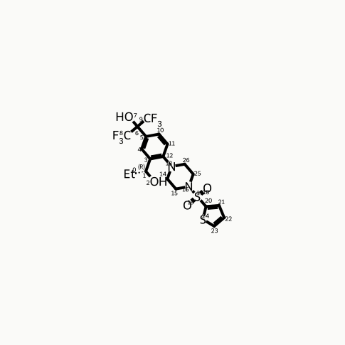 CC[C@@H](O)c1cc(C(O)(C(F)(F)F)C(F)(F)F)ccc1N1CCN(S(=O)(=O)c2cccs2)CC1